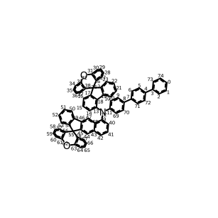 c1ccc(-c2ccc(-c3ccc(N(c4cccc5c4-c4ccccc4C54c5ccccc5Oc5ccccc54)c4cccc5cc6c(cc45)-c4ccccc4C64c5ccccc5Oc5ccccc54)cc3)cc2)cc1